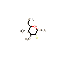 CC[C@H]1O[C@@H](C)[C@H]([18F])[C@@H](C)[C@@H]1C